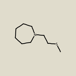 CSCCN1CCCCCC1